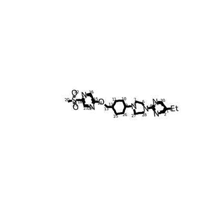 CCc1cnc(N2CCN(C3CCC(COc4cnc(S(C)(=O)=O)cn4)CC3)CC2)nc1